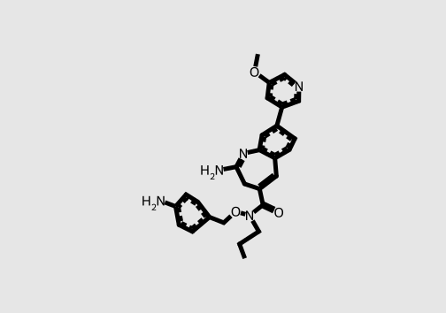 CCCN(OCc1ccc(N)cc1)C(=O)C1=Cc2ccc(-c3cncc(OC)c3)cc2N=C(N)C1